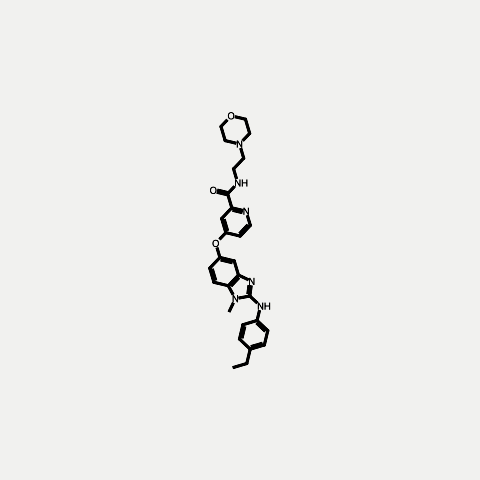 CCc1ccc(Nc2nc3cc(Oc4ccnc(C(=O)NCCN5CCOCC5)c4)ccc3n2C)cc1